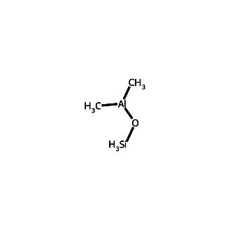 [CH3][Al]([CH3])[O][SiH3]